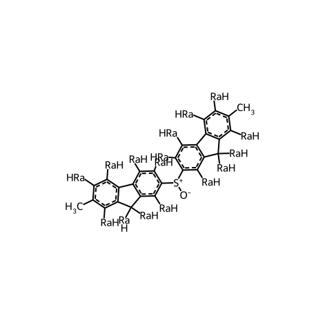 Cc1[c]([RaH])[c]([RaH])c2c([c]1[RaH])[C]([RaH])([RaH])c1[c]([RaH])c([S+]([O-])c3[c]([RaH])[c]([RaH])c4c([c]3[RaH])[C]([RaH])([RaH])c3[c]([RaH])c(C)[c]([RaH])[c]([RaH])c3-4)[c]([RaH])[c]([RaH])c1-2